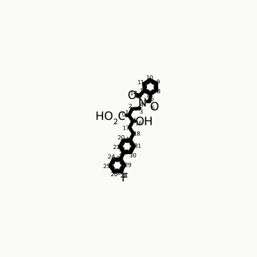 O=C(O)C(CCN1C(=O)c2ccccc2C1=O)C(O)CCc1ccc(-c2cccc(F)c2)cc1